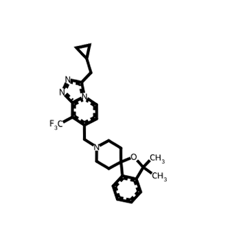 CC1(C)OC2(CCN(Cc3ccn4c(CC5CC5)nnc4c3C(F)(F)F)CC2)c2ccccc21